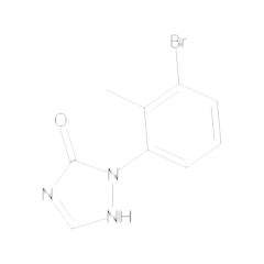 Cc1c(Br)cccc1-n1[nH]cnc1=O